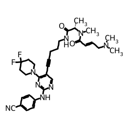 C[C@@H](C(=O)NCCCC#Cc1cnc(Nc2ccc(C#N)cc2)nc1N1CCC(F)(F)CC1)N(C)C(=O)/C=C/CN(C)C